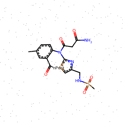 CCCCCC(=O)c1cc(C)ccc1N(C(=O)CC(N)=O)c1nc(CNS(C)(=O)=O)cs1